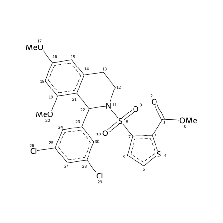 COC(=O)c1sccc1S(=O)(=O)N1CCc2cc(OC)cc(OC)c2C1c1cc(Cl)cc(Cl)c1